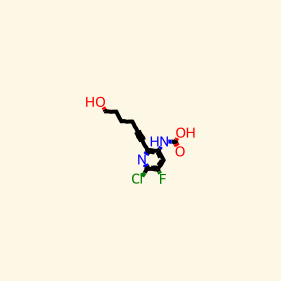 O=C(O)Nc1cc(F)c(Cl)nc1C#CCCCCO